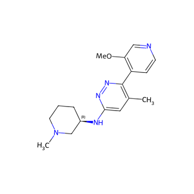 COc1cnccc1-c1nnc(N[C@@H]2CCCN(C)C2)cc1C